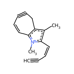 C#C/C=C\c1c(C)c2c(n1C)C=CC#CC2